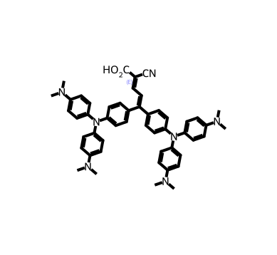 CN(C)c1ccc(N(c2ccc(C(=C/C=C(\C#N)C(=O)O)c3ccc(N(c4ccc(N(C)C)cc4)c4ccc(N(C)C)cc4)cc3)cc2)c2ccc(N(C)C)cc2)cc1